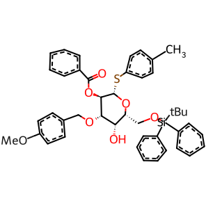 COc1ccc(CO[C@H]2[C@@H](O)[C@@H](CO[Si](c3ccccc3)(c3ccccc3)C(C)(C)C)O[C@@H](Sc3ccc(C)cc3)[C@@H]2OC(=O)c2ccccc2)cc1